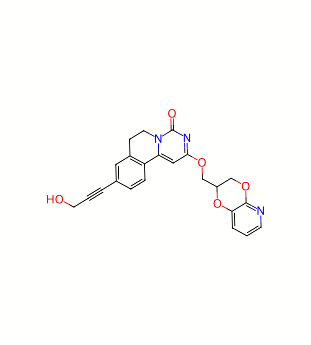 O=c1nc(OCC2COc3ncccc3O2)cc2n1CCc1cc(C#CCO)ccc1-2